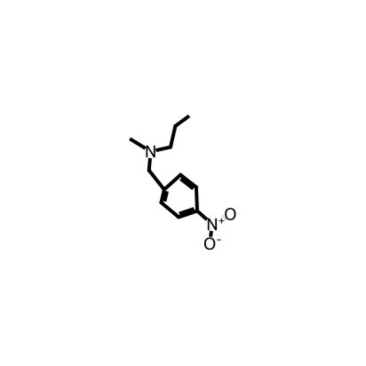 CCCN(C)Cc1ccc([N+](=O)[O-])cc1